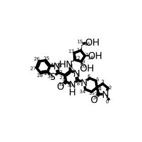 CN1CCC2(CCN(c3nc(N[C@@H]4C[C@H](CO)[C@@H](O)[C@H]4O)c(-c4nc5ccccc5s4)c(=O)[nH]3)CC2)C1=O